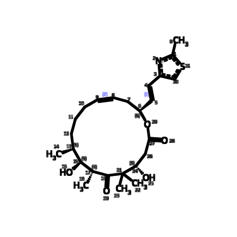 Cc1nc(/C=C/[C@@H]2C/C=C\CCC[C@H](C)[C@H](O)[C@@H](C)C(=O)C(C)(C)[C@@H](O)CC(=O)O2)cs1